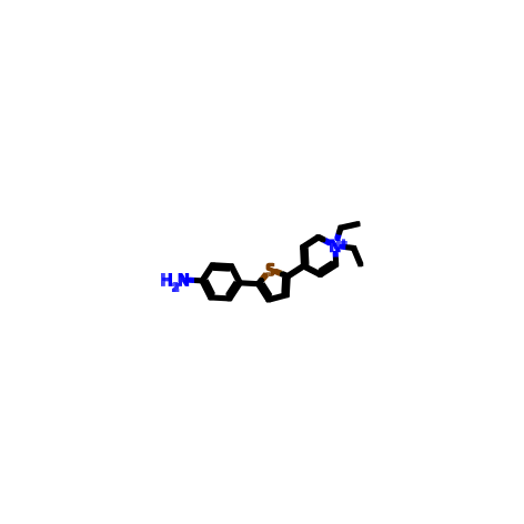 CC[N+]1(CC)C=CC(c2ccc(-c3ccc(N)cc3)s2)=CC1